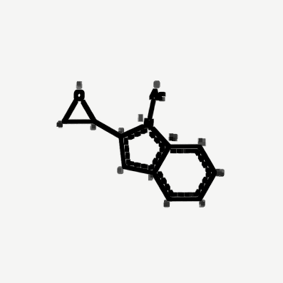 CC(=O)n1c(C2CO2)cc2ccccc21